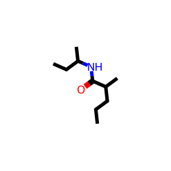 CCCC(C)C(=O)NC(C)CC